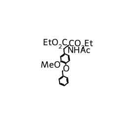 CCOC(=O)C(Cc1ccc(OCc2ccccc2)c(OC)c1)(NC(C)=O)C(=O)OCC